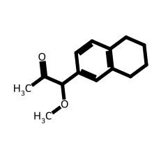 COC(C(C)=O)c1ccc2c(c1)CCCC2